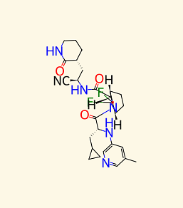 Cc1cncc(N[C@H](CC2CC2)C(=O)N2[C@H]3CC[C@@H]([C@H]2C(=O)N[C@@H](C#N)C[C@H]2CCCNC2=O)C(F)(F)C3)c1